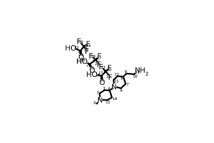 CN1CCC(N2CCC(CCN)CC2)CC1.O=C(O)C(F)(F)F.O=C(O)C(F)(F)F.O=C(O)C(F)(F)F